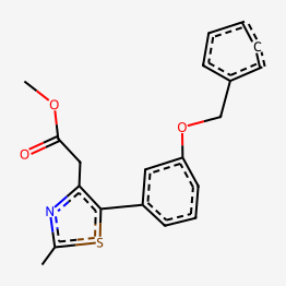 COC(=O)Cc1nc(C)sc1-c1cccc(OCc2ccccc2)c1